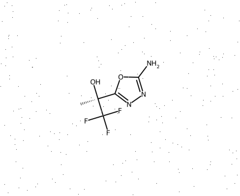 C[C@](O)(c1nnc(N)o1)C(F)(F)F